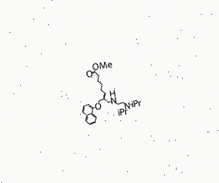 COC(=O)CCCC/C=C(/CNCCN(C(C)C)C(C)C)COc1cccc2ccccc12